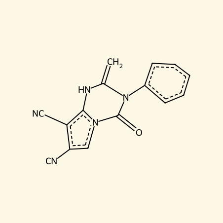 [C-]#[N+]c1cn2c(c1C#N)NC(=C)N(c1ccccc1)C2=O